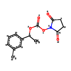 CC(OC(=O)ON1C(=O)CCC1=O)c1cccc(C(F)(F)F)c1